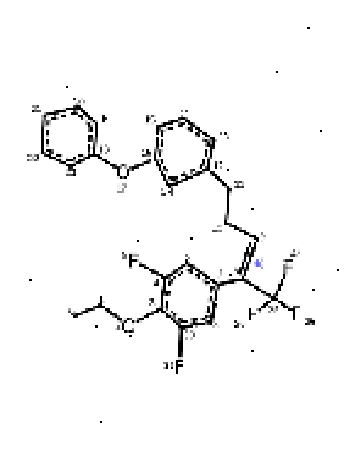 CCOc1c(F)cc(/C(=C\CCc2cccc(Oc3ccccc3)c2)C(F)(F)F)cc1F